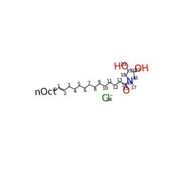 CCCCCCCCC=CCCCCCCCCCCCC(=O)[N+](C)(CCO)CCO.[Cl-]